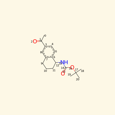 CC(=O)c1ccc2c(c1)CCCC2NC(=O)OC(C)(C)C